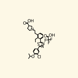 CCc1c(CCN2CCC(C(=O)O)C2)cccc1-c1nnc(-c2ccc(OC(C)C)c(Cl)c2)s1.O=C(O)C(F)(F)F